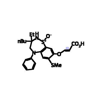 CCCCC1(CC)CN(c2ccccc2)c2cc(SC)c(O/C=C/C(=O)O)cc2[S+]([O-])N1